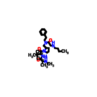 CCCCNCC(=O)N(CCc1ccccc1)CC1CCCN1C(=O)C(NC(=O)[C@H](C)NC)C(C)(C)C